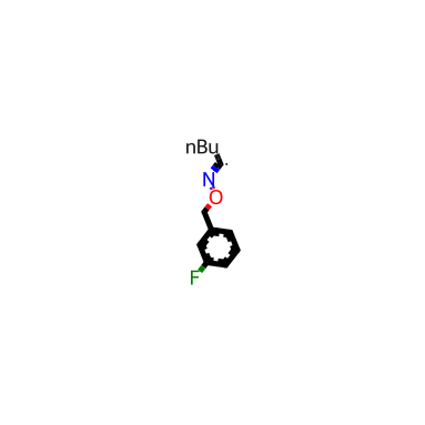 CCCC/[C]=N/OCc1cccc(F)c1